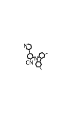 Cc1ccc2c(c1)c1cc(C)ccc1n2-c1cc(-c2cccnc2)ccc1C#N